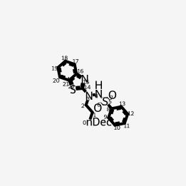 CCCCCCCCCCCCN(NS(=O)(=O)c1ccccc1)c1nc2ccccc2s1